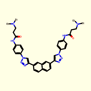 CCN(CC)CCC(=O)Nc1ccc(-n2cc(-c3ccc4ccc(-c5cn(-c6ccc(NC(=O)CCN(CC)CC)cc6)nn5)cc4c3)nn2)cc1